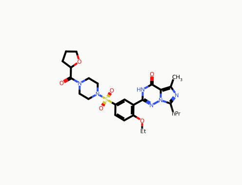 CCCc1nc(C)c2c(=O)[nH]c(-c3cc(S(=O)(=O)N4CCN(C(=O)C5CCCO5)CC4)ccc3OCC)nn12